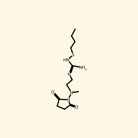 CCCCSN/C(N)=N/CCN(C)N1C(=O)CCC1=O